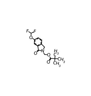 CC(C)(C)C(=O)OCN1Cc2ccc(OC(F)F)cc2C1=O